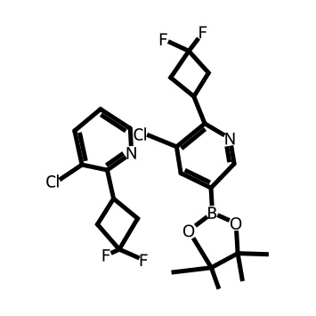 CC1(C)OB(c2cnc(C3CC(F)(F)C3)c(Cl)c2)OC1(C)C.FC1(F)CC(c2ncccc2Cl)C1